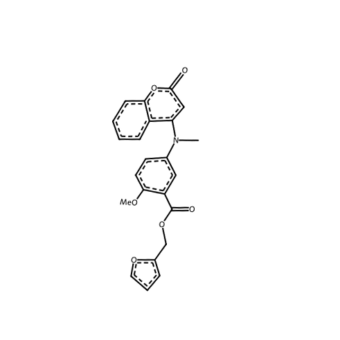 COc1ccc(N(C)c2cc(=O)oc3ccccc23)cc1C(=O)OCc1ccco1